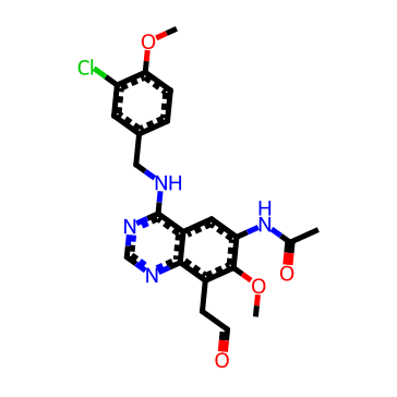 COc1ccc(CNc2ncnc3c(CC=O)c(OC)c(NC(C)=O)cc23)cc1Cl